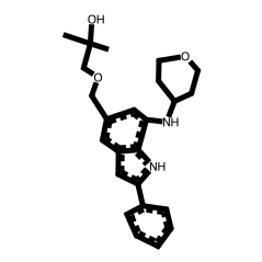 CC(C)(O)COCc1cc(NC2CCOCC2)c2[nH]c(-c3ccccc3)cc2c1